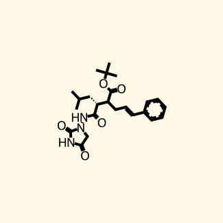 CC(C)C[C@@H](C(=O)NN1CC(=O)NC1=O)C(C/C=C/c1ccccc1)C(=O)OC(C)(C)C